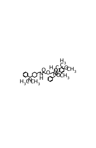 COc1cc(C)c(S(=O)(=O)N(CCOCC(=O)NCC2CCC(C(c3ccccc3)N(C)C)CC2)Cc2ccccc2)c(C)c1C